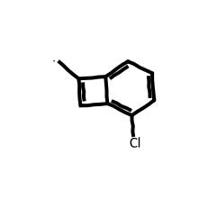 [CH2]C1=Cc2c(Cl)cccc21